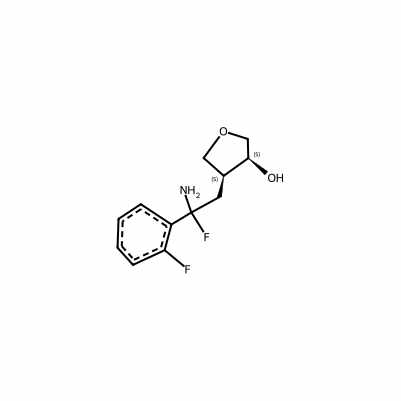 NC(F)(C[C@H]1COC[C@H]1O)c1ccccc1F